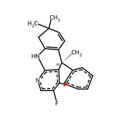 CC1(C)C=CC2=C(C1)Nc1ncc(F)c(F)c1[C@]2(C)c1ccccc1